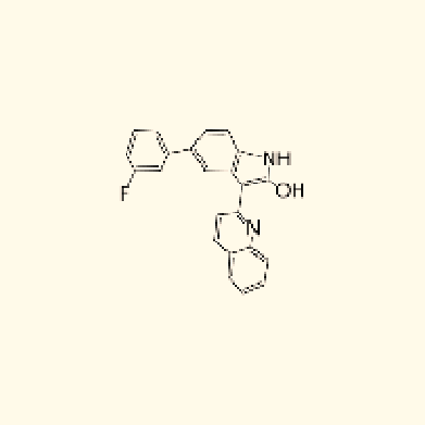 Oc1[nH]c2ccc(-c3cccc(F)c3)cc2c1-c1ccc2ccccc2n1